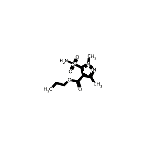 CCCOC(=O)c1c(C)nn(C)c1S(N)(=O)=O